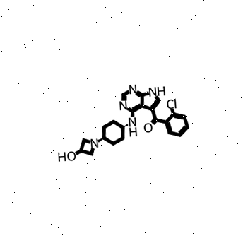 O=C(c1ccccc1Cl)c1c[nH]c2ncnc(N[C@H]3CC[C@H](N4CC(O)C4)CC3)c12